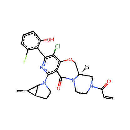 C=CC(=O)N1CCN2C(=O)c3c(N4CCC5C4[C@@H]5C)nc(-c4c(O)cccc4F)c(Cl)c3OC[C@H]2C1